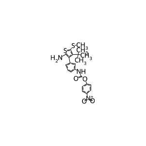 CSc1sc(N)c(-c2cccc(NC(=O)Oc3ccc([N+](=O)[O-])cc3)c2)c1C(C)(C)C